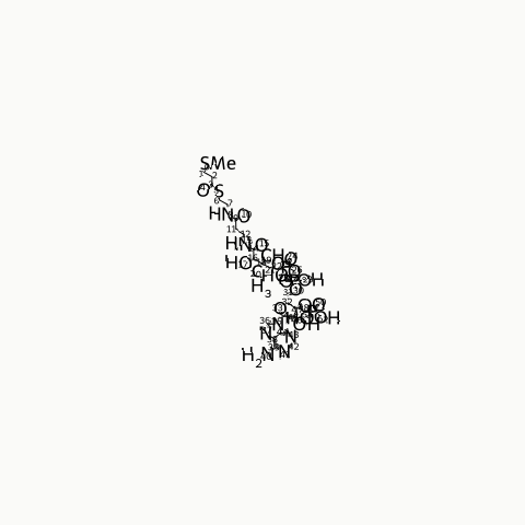 CSCCC(=O)SCCNC(=O)CCNC(=O)[C@H](O)C(C)(C)COP(=O)(O)OP(=O)(O)OC[C@H]1O[C@@H](n2cnc3c(N)ncnc32)[C@H](O)[C@@H]1OP(=O)(O)O